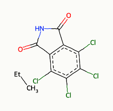 CCC.O=C1NC(=O)c2c(Cl)c(Cl)c(Cl)c(Cl)c21